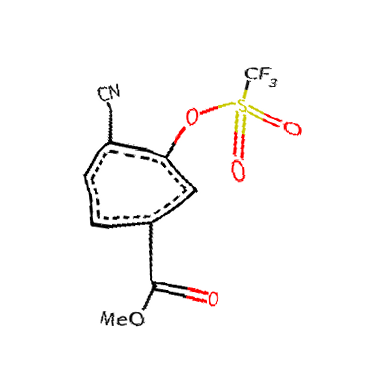 COC(=O)c1ccc(C#N)c(OS(=O)(=O)C(F)(F)F)c1